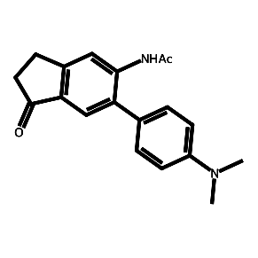 CC(=O)Nc1cc2c(cc1-c1ccc(N(C)C)cc1)C(=O)CC2